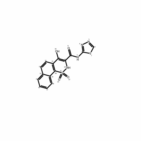 O=C(Nc1nncs1)C1=C(O)c2ccc3ccccc3c2S(=O)(=O)N1